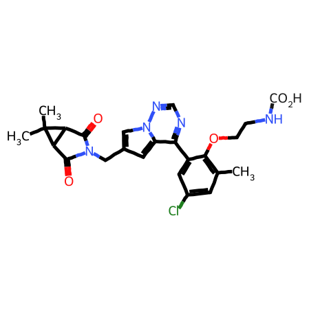 Cc1cc(Cl)cc(-c2ncnn3cc(CN4C(=O)C5C(C4=O)C5(C)C)cc23)c1OCCNC(=O)O